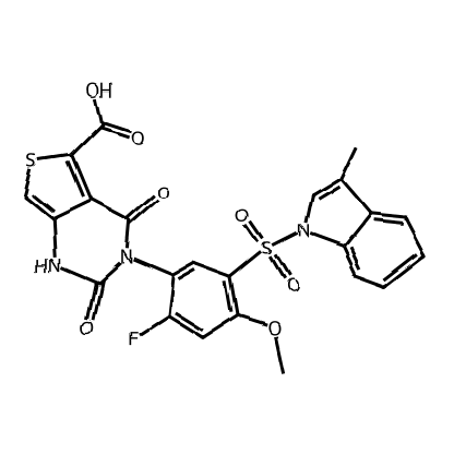 COc1cc(F)c(-n2c(=O)[nH]c3csc(C(=O)O)c3c2=O)cc1S(=O)(=O)n1cc(C)c2ccccc21